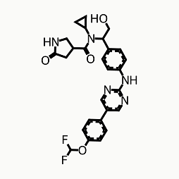 O=C1CC(C(=O)N(C2CC2)C(CO)c2ccc(Nc3ncc(-c4ccc(OC(F)F)cc4)cn3)cc2)CN1